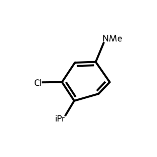 CNc1ccc(C(C)C)c(Cl)c1